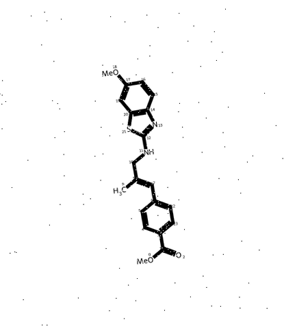 COC(=O)c1ccc(C=C(C)CNc2nc3ccc(OC)cc3s2)cc1